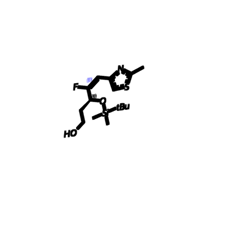 Cc1nc(/C=C(/F)[C@H](CCO)O[Si](C)(C)C(C)(C)C)cs1